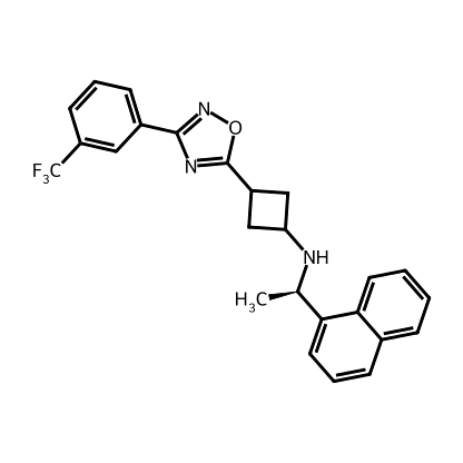 C[C@@H](NC1CC(c2nc(-c3cccc(C(F)(F)F)c3)no2)C1)c1cccc2ccccc12